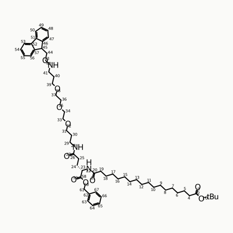 CC(C)(C)OC(=O)CCCCCCCCCCCCCCCCC(=O)N[C@@H](CCC(=O)NCCCOCCOCCOCCCNOCC1c2ccccc2-c2ccccc21)C(=O)OCc1ccccc1